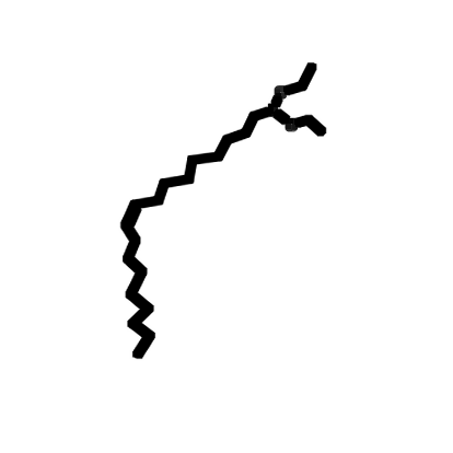 CCCCCCCC/C=C\CCCCCCCCP(OCC)OCC